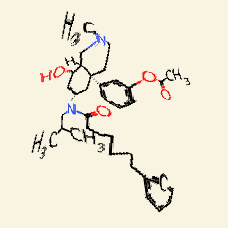 CC(=O)Oc1cccc([C@@]23CCN(C)C[C@H]2C(O)C[C@@H](N(CC(C)C)C(=O)CCCCCc2ccccc2)C3)c1